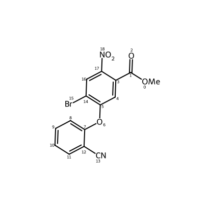 COC(=O)c1cc(Oc2ccccc2C#N)c(Br)cc1[N+](=O)[O-]